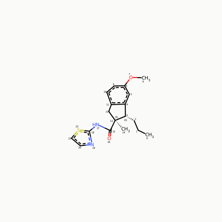 CCC[C@H]1c2cc(OC)ccc2C[C@]1(C)C(=O)Nc1nccs1